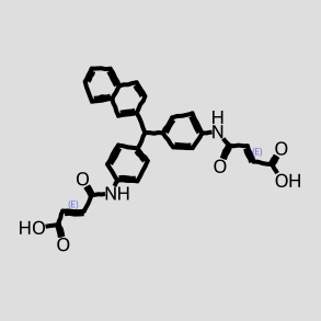 O=C(O)/C=C/C(=O)Nc1ccc(C(c2ccc(NC(=O)/C=C/C(=O)O)cc2)c2ccc3ccccc3c2)cc1